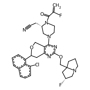 C=C(F)C(=O)N1CCN(c2nc(OCC34CCCN3C[C@H](F)C4)nc3c2COC(c2cccc4cccc(Cl)c24)C3)C[C@@H]1CC#N